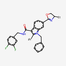 CCC1COC(c2ccc3c(C(=O)NCc4ccc(F)c(F)c4)c(C(C)C)n(Cc4ccccc4)c3c2)=N1